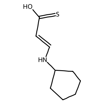 OC(=S)C=CNC1CCCCC1